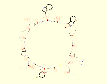 CCCC[C@H]1C(=O)N(C)[C@@H](CCCC)C(=O)N[C@@H](CCCNC(=N)N)C(=O)N[C@H](C(=O)NCC(N)=O)CSCC(=O)N[C@@H](Cc2ccc(Cl)cc2)C(=O)N(C)[C@@H](C)C(O)N[C@@H](CC(N)=O)C(=O)N2CCC[C@H]2C(=O)N[C@@H](CN)C(=O)N[C@@H](CC(C)C)C(=O)N2C[C@H](O)CC2C(=O)N[C@@H](CCc2c[nH]c3ccccc23)C(=O)N[C@@H](CO)C(=O)N[C@@H](Cc2c[nH]c3ccccc23)C(=O)N1C